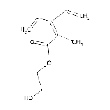 C=CC(C=C)=C(C)C(=O)OCCO